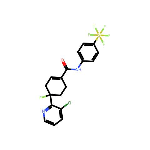 O=C(Nc1ccc(S(F)(F)(F)(F)F)cc1)C1=CCC(F)(c2ncccc2Cl)CC1